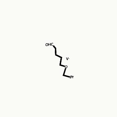 CC(C)COCCCCC=O.[V]